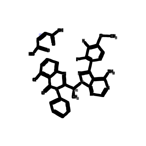 COc1ccc(-c2nn([C@@H](C)c3nc4cccc(Cl)c4c(=O)n3-c3ccccc3)c3ncnc(N)c23)c(F)c1F.O=C(O)/C=C\C(=O)O